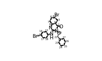 O=c1c2cc(Br)ccc2nc(Nc2ccc(Br)cc2)n1OCc1ccccc1